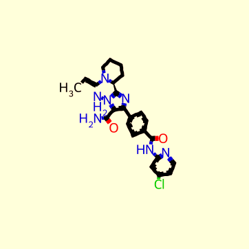 CC=CN1CCCC[C@H]1c1nc(-c2ccc(C(=O)Nc3cc(Cl)ccn3)cc2)c(C(N)=O)n1N